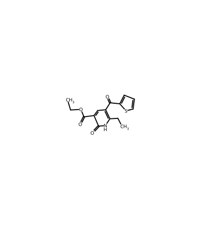 CCOC(=O)c1cc(C(=O)c2cccs2)c(CC)[nH]c1=O